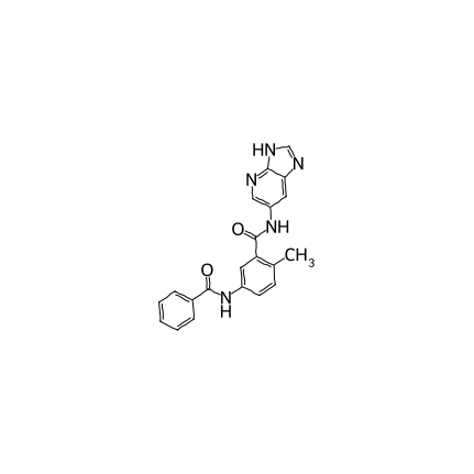 Cc1ccc(NC(=O)c2ccccc2)cc1C(=O)Nc1cnc2[nH]cnc2c1